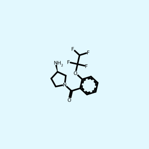 N[C@@H]1CCN(C(=O)c2ccccc2OC(F)(F)C(F)F)C1